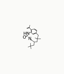 C=C(C)c1ccc(CC(C)(C)CC(C#N)CC(C)(C)C)cc1NC=O